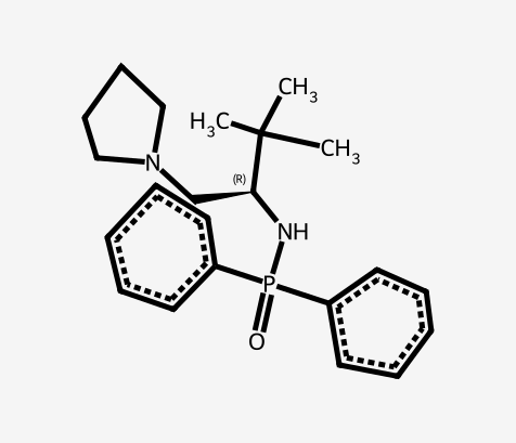 CC(C)(C)[C@H](CN1CCCC1)NP(=O)(c1ccccc1)c1ccccc1